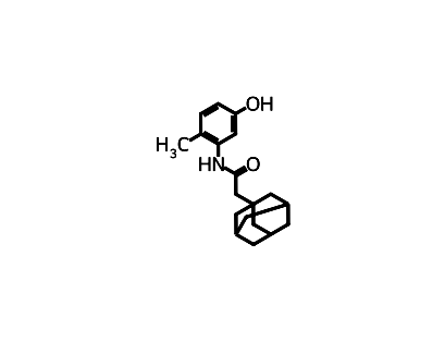 Cc1ccc(O)cc1NC(=O)CC12CC3CC(CC(C3)C1)C2